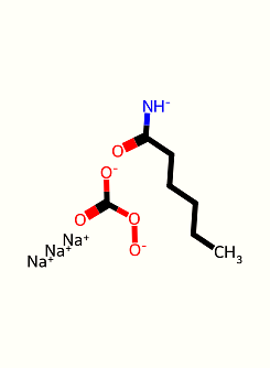 CCCCCC([NH-])=O.O=C([O-])O[O-].[Na+].[Na+].[Na+]